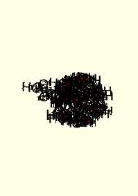 CC(=O)CCC(=O)OC[C@H]1O[C@@H]2O[C@H]3[C@@H](O)[C@H](O)[C@@H](O[C@H]4[C@@H](O)[C@H](O)[C@@H](O[C@H]5[C@@H](O)[C@H](O)[C@@H](O[C@H]6[C@@H](O)[C@H](O)[C@@H](O[C@H]7[C@@H](O)[C@H](O)[C@@H](O[C@H]8[C@@H](O)[C@H](O)[C@@H](O[C@H]1[C@@H](O)[C@@H]2O)O[C@@H]8COC(=O)CCC(=O)O)O[C@@H]7COC(=O)CCC(=O)O)O[C@@H]6COC(=O)CCC(=O)O)O[C@@H]5COC(=O)CCC(=O)O)O[C@@H]4COC(=O)CCC(=O)O)O[C@@H]3COC(=O)CCC(=O)O